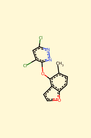 Cc1ccc2occc2c1Oc1nnc(Cl)cc1Cl